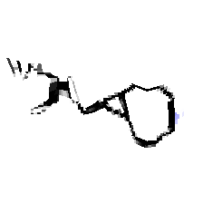 NC(=O)OC=C1C2CC/C=C\CCC12